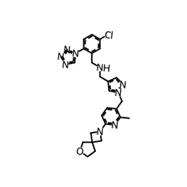 Cc1nc(N2CC3(CCOC3)C2)ccc1Cn1cc(CNCc2cc(Cl)ccc2-n2cnnn2)cn1